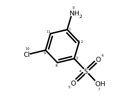 Nc1[c]c(S(=O)(=O)O)cc(Cl)c1